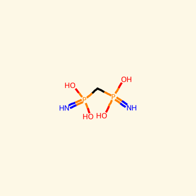 N=P(O)(O)CP(=N)(O)O